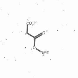 CNOC(=O)CC(=O)O